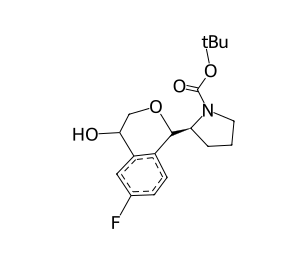 CC(C)(C)OC(=O)N1CCC[C@H]1C1OCC(O)c2cc(F)ccc21